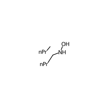 CCCC.CCCCNO